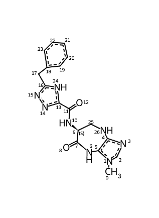 Cn1cnc2c1NC(=O)[C@@H](NC(=O)c1nnc(Cc3ccccc3)[nH]1)CN2